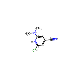 CN(C)c1cc(C#N)cc(Cl)n1